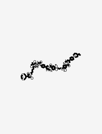 C/C=C1/CCCN(c2ccc(C3=CN4C(=O)c5cc(OC)c(OCCCOc6cc7c(cc6OC)C(=O)N6C=C(c8ccc(NC(=O)[C@H](C)NC(=O)C(NC(=O)CCCCCN9C(=O)CC(C%10CCCCCCCC%10)C9=O)C(C)C)cc8)C[C@H]6C=N7)cc5N=C[C@@H]4C3)cc2)CC1